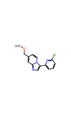 O=COCc1ccn2c(-c3cccc(Br)n3)cnc2c1